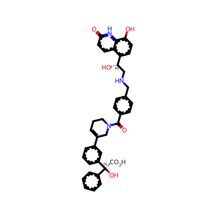 O=C(c1ccc(CNC[C@H](O)c2ccc(O)c3[nH]c(=O)ccc23)cc1)N1CCC=C(c2cccc([C@](O)(C(=O)O)c3ccccc3)c2)C1